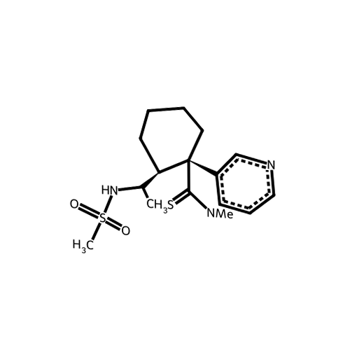 CNC(=S)[C@@]1(c2cccnc2)CCCC[C@@H]1C(C)NS(C)(=O)=O